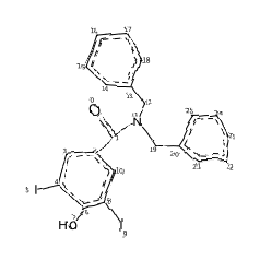 O=C(c1cc(I)c(O)c(I)c1)N(Cc1ccccc1)Cc1ccccc1